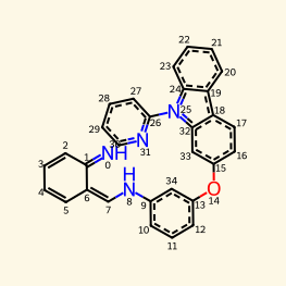 N=C1C=CC=C/C1=C/Nc1cccc(Oc2ccc3c4ccccc4n(-c4ccccn4)c3c2)c1